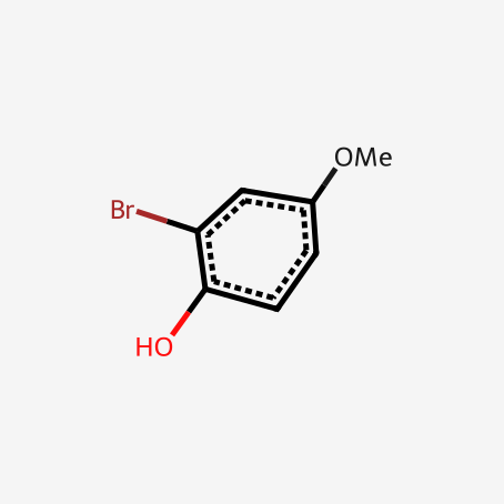 COc1ccc(O)c(Br)c1